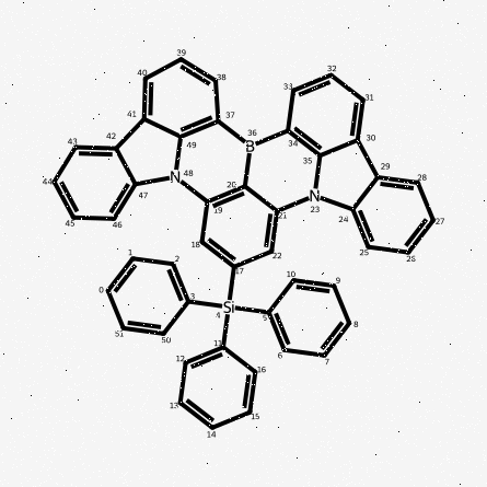 c1ccc([Si](c2ccccc2)(c2ccccc2)c2cc3c4c(c2)-n2c5ccccc5c5cccc(c52)B4c2cccc4c5ccccc5n-3c24)cc1